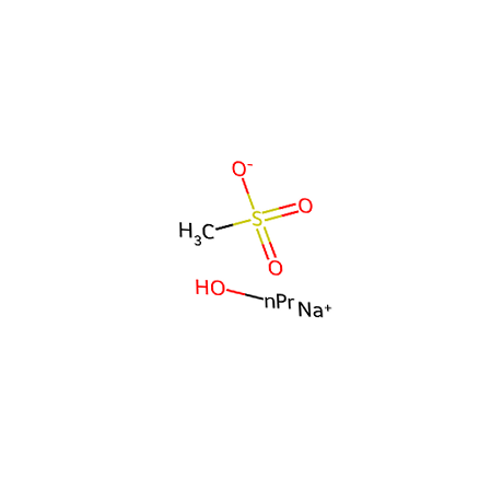 CCCO.CS(=O)(=O)[O-].[Na+]